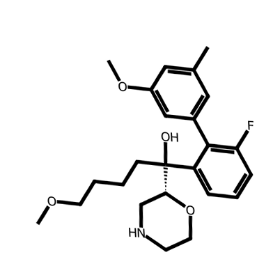 COCCCCC(O)(c1cccc(F)c1-c1cc(C)cc(OC)c1)[C@H]1CNCCO1